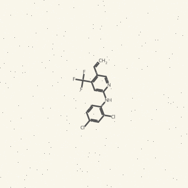 C=Cc1cnc(Nc2ccc(Cl)cc2Cl)cc1C(F)(F)F